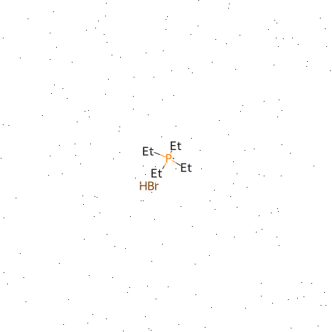 Br.CC[P](CC)(CC)CC